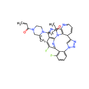 C=CC(=O)N1CCN(c2nc(=O)n3c4nc(c(F)cc24)-c2c(F)cccc2-n2cc(nn2)C2C=CC=NC(C(C)C)=C23)[C@@H](C)C1